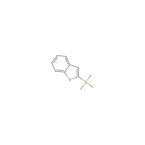 CS(C)(C)c1cc2ccccc2s1